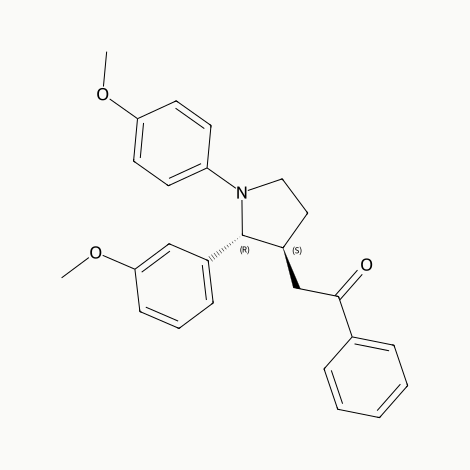 COc1ccc(N2CC[C@@H](CC(=O)c3ccccc3)[C@@H]2c2cccc(OC)c2)cc1